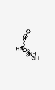 O=C(NCCO)Oc1ccc2[nH]cc(CCCCN3CC=C(c4ccccc4)CC3)c2c1